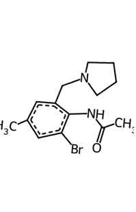 CC(=O)Nc1c(Br)cc(C)cc1CN1CCCC1